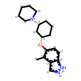 Cc1c(O[C@H]2CCC[C@@H](N3CCCCC3)C2)ccc2[nH]ncc12